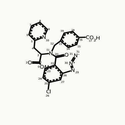 COC(=O)C(Cc1ccccn1)N(Cc1ccc(C(=O)O)cc1)C(=O)c1ccc(Cl)cc1N=[N+]=[N-]